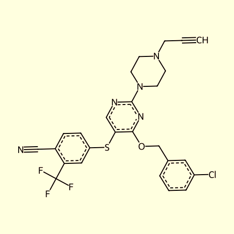 C#CCN1CCN(c2ncc(Sc3ccc(C#N)c(C(F)(F)F)c3)c(OCc3cccc(Cl)c3)n2)CC1